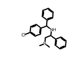 CN(C)CC(NC(c1ccccc1)c1ccc(Cl)cc1)c1ccccc1